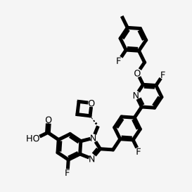 Cc1ccc(COc2nc(-c3ccc(Cc4nc5c(F)cc(C(=O)O)cc5n4C[C@@H]4CCO4)c(F)c3)ccc2F)c(F)c1